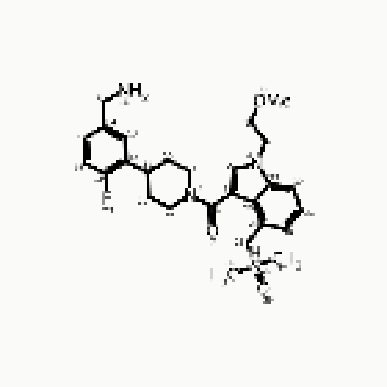 COCCn1cc(C(=O)N2CCC(c3cc(CN)ccc3F)CC2)c2c(C[SH](C)(C)=O)cccc21